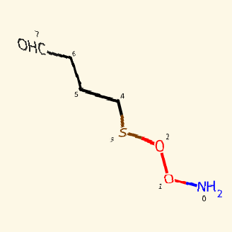 NOOSCCCC=O